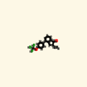 CC1Cc2c(cccc2-c2ccc(OC(F)(F)F)cc2)C1=O